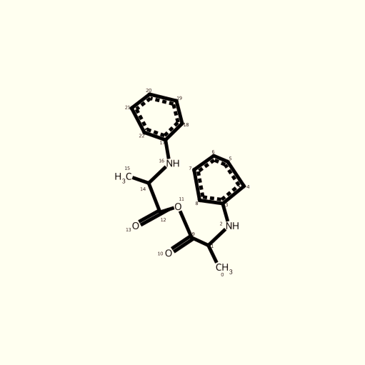 CC(Nc1ccccc1)C(=O)OC(=O)C(C)Nc1ccccc1